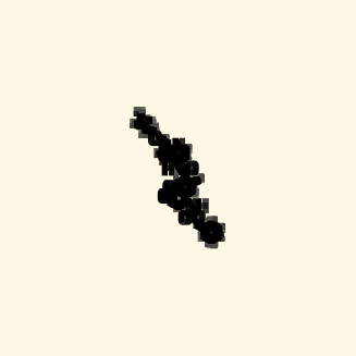 Cc1cc2c(cc1C(=O)Nc1ccnc3c1ccn3COCC[Si](C)(C)C)S(=O)(=O)CC[C@@H]2NC(=O)OCc1ccccc1